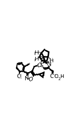 Cc1cccc(Cl)c1-c1noc(C2CC2)c1CO[C@@H]1C[C@H]2CC[C@@H](C1)[C@]2(O)c1nc(CC(=O)O)cs1